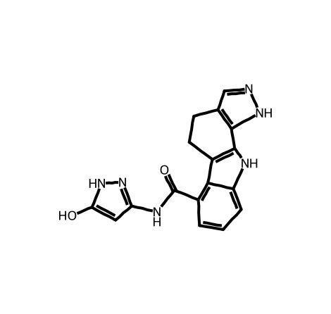 O=C(Nc1cc(O)[nH]n1)c1cccc2[nH]c3c(c12)CCc1cn[nH]c1-3